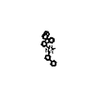 Cc1nc(-c2cccc(-c3ccccc3)c2)nc(-c2cccc3c2-c2ccccc2C32C3CC4CC(C3)CC2C4)n1